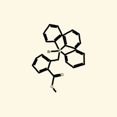 COC(=O)c1ccccc1CP(Br)(c1ccccc1)(c1ccccc1)c1ccccc1